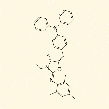 C=c1/c(=C\c2ccc(N(c3ccccc3)c3ccccc3)cc2)oc(=Nc2c(C)cc(C)cc2C)n1CC